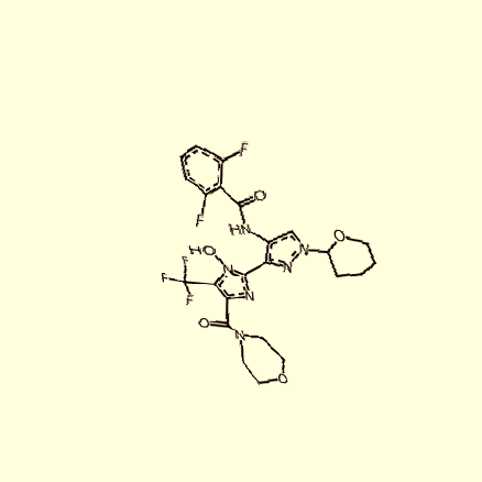 O=C(Nc1cn(C2CCCCO2)nc1-c1nc(C(=O)N2CCOCC2)c(C(F)(F)F)n1O)c1c(F)cccc1F